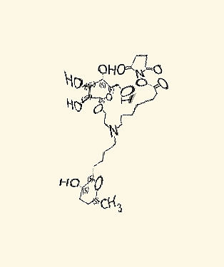 C[C@H]1CC[C@H](O)[C@H](CCCCN(CCCCCC(=O)ON2C(=O)CCC2=O)CCO[C@H]2O[C@H](CO)[C@@H](O)[C@H](O)[C@@H]2O)O1